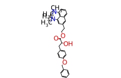 CN(C)c1cccc2cc(CCOC(=O)C(O)Cc3ccc(OCc4ccccc4)cc3)cc(N(C)C)c12